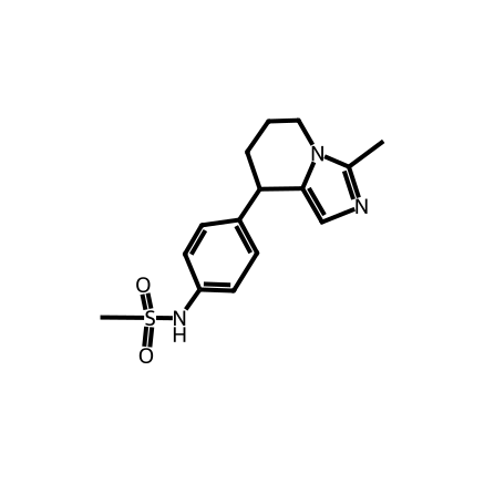 Cc1ncc2n1CCCC2c1ccc(NS(C)(=O)=O)cc1